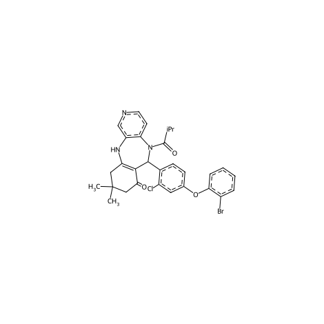 CC(C)C(=O)N1c2ccncc2NC2=C(C(=O)CC(C)(C)C2)C1c1ccc(Oc2ccccc2Br)cc1Cl